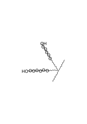 CCCCCCCCCCCC(CCCCCCCCCCC)C(CCCCCCCCCCCOCCOCCOCCOCCOCCO)CCCCCCCCOCCOCCOCCOCCOCCOCCO